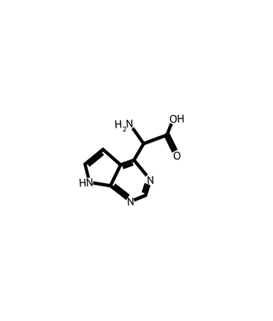 NC(C(=O)O)c1ncnc2[nH]ccc12